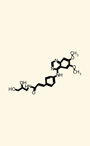 COc1cc2ncnc(Nc3ccc(C=CC(=O)NCC(O)CO)cc3)c2cc1OC